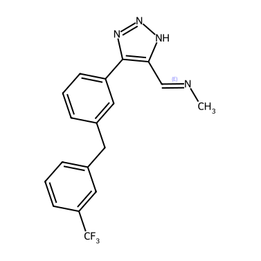 C/N=C/c1[nH]nnc1-c1cccc(Cc2cccc(C(F)(F)F)c2)c1